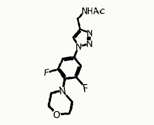 CC(=O)NCc1cn(-c2cc(F)c(N3CCOCC3)c(F)c2)nn1